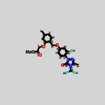 COC(=O)COc1cc(C)ccc1COc1ccc(-n2nc(C)n(C(F)F)c2=O)c(F)c1